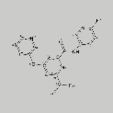 O=C(Nc1ccc(F)cn1)c1cc(Oc2cncnc2)cc(C(F)F)n1